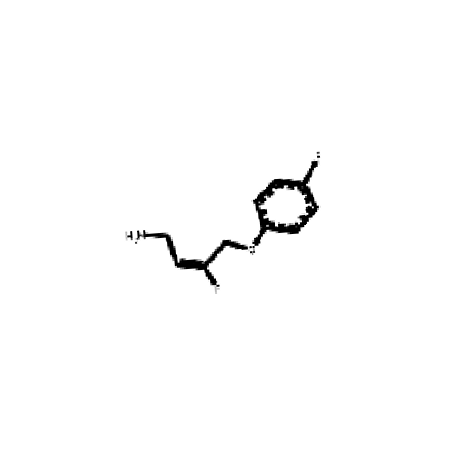 NC/C=C(/F)COc1ccc(F)cc1